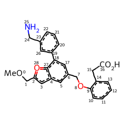 COCc1cc2cc(COc3ccccc3CC(=O)O)cc(-c3cccc(CN)c3)c2o1